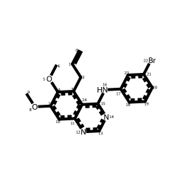 C=CCc1c(OC)c(OC)cc2ncnc(Nc3cccc(Br)c3)c12